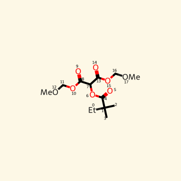 CCC(C)(C)C(=O)OC(C(=O)OCOC)C(=O)OCOC